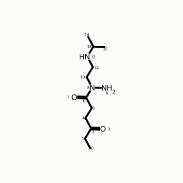 CCC(=O)CCC(=O)N(N)CCNC(C)C